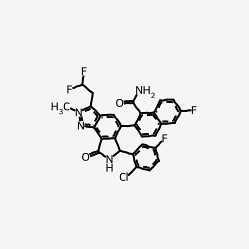 Cn1nc2c3c(c(-c4ccc5cc(F)ccc5c4C(N)=O)cc2c1CC(F)F)C(c1cc(F)ccc1Cl)NC3=O